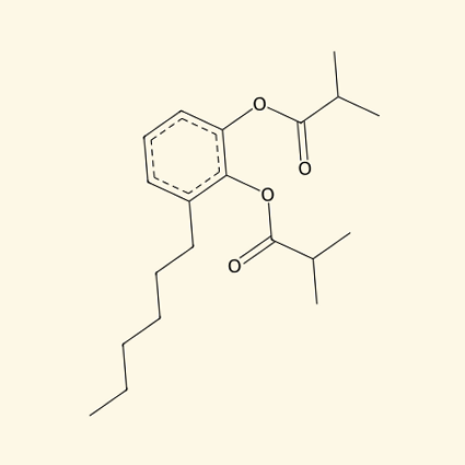 CCCCCCc1cccc(OC(=O)C(C)C)c1OC(=O)C(C)C